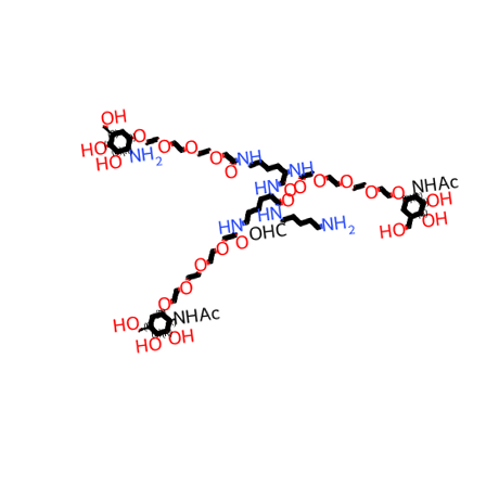 CC(=O)N[C@@H]1[C@@H](O)[C@@H](O)C(CO)C[C@H]1OCCOCCOCCOCC(=O)NC(CCCCNC(=O)COCCOCCOCCO[C@@H]1C[C@H](CO)[C@H](O)[C@H](O)[C@H]1N)C(=O)NC(CCCCNC(=O)COCCOCCOCCO[C@@H]1C[C@H](CO)[C@H](O)[C@H](O)[C@H]1NC(C)=O)C(=O)NC(C=O)CCCCN